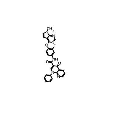 Cn1ccc2c(Oc3ccc(NC(=O)c4cn(-c5ccccc5)c5ncccc5c4=O)cc3F)ncnc21